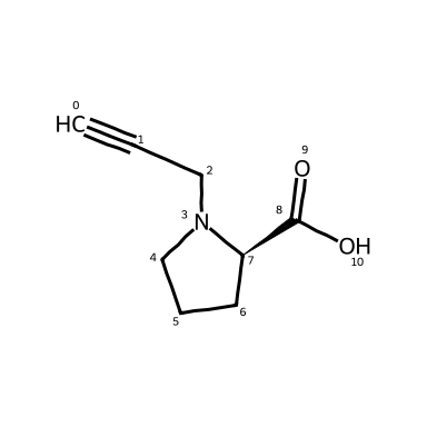 C#CCN1CCC[C@@H]1C(=O)O